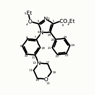 CCOC(=O)c1nc(OCC)n(-c2cccc(N3CCOCC3)c2)c1-c1ccccc1